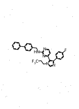 Fc1ccc(-c2ncn(CCC(F)(F)F)c2-c2ccnc(NCc3ccc(-c4ccccc4)cc3)n2)cc1